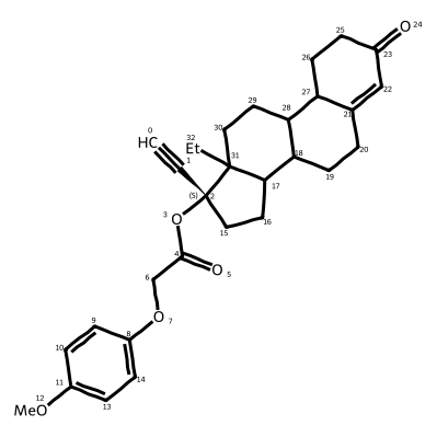 C#C[C@]1(OC(=O)COc2ccc(OC)cc2)CCC2C3CCC4=CC(=O)CCC4C3CCC21CC